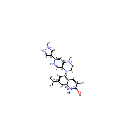 Cc1cc2c(N3CCN(C)c4cc(-c5cnn(C)c5)ncc43)cc(C(C)C)cc2n(C)c1=O